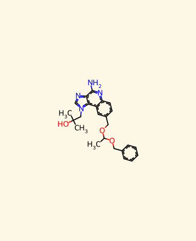 CC(OCc1ccccc1)OCc1ccc2nc(N)c3ncn(CC(C)(C)O)c3c2c1